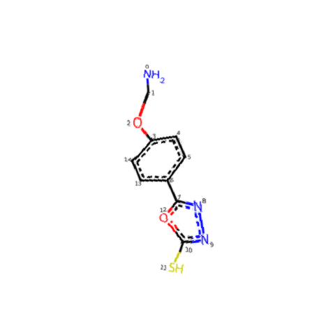 NCOc1ccc(-c2nnc(S)o2)cc1